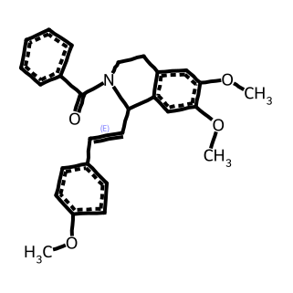 COc1ccc(/C=C/C2c3cc(OC)c(OC)cc3CCN2C(=O)c2ccccc2)cc1